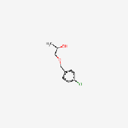 CC(O)COCc1ccc(Cl)cc1